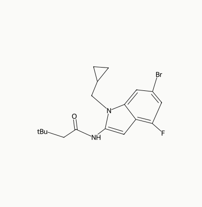 CC(C)(C)CC(=O)Nc1cc2c(F)cc(Br)cc2n1CC1CC1